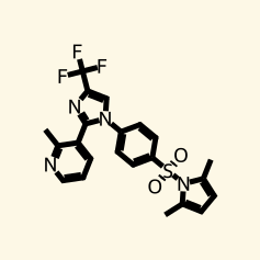 Cc1ncccc1-c1nc(C(F)(F)F)cn1-c1ccc(S(=O)(=O)n2c(C)ccc2C)cc1